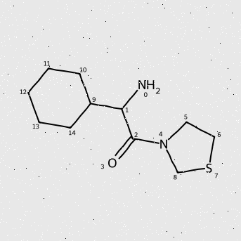 NC(C(=O)N1CCSC1)C1CCCCC1